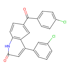 O=C(c1ccc(Cl)cc1)c1ccc2[nH]c(=O)cc(-c3cccc(Cl)c3)c2c1